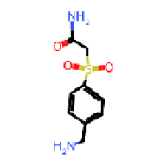 NCc1ccc(S(=O)(=O)CC(N)=O)cc1